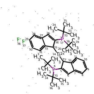 CC(C)(C)P(C1=Cc2ccccc2[CH]1[Ti+2][CH]1C(P(C(C)(C)C)C(C)(C)C)=Cc2ccccc21)C(C)(C)C.[F-].[F-]